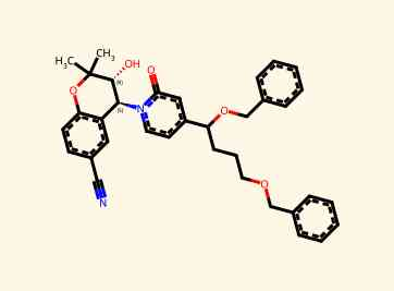 CC1(C)Oc2ccc(C#N)cc2[C@H](n2ccc(C(CCCOCc3ccccc3)OCc3ccccc3)cc2=O)[C@H]1O